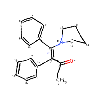 CC(=O)/C(=C(/c1ccccc1)N1CCCC1)c1ccccc1